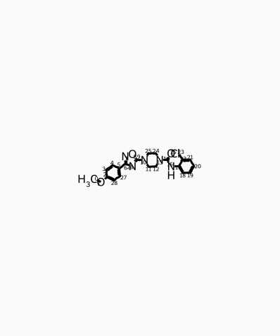 COc1ccc(-c2noc(N3CCN(C(=O)Nc4ccccc4Cl)CC3)n2)cc1